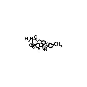 Cc1ccc(-c2nnc(-c3cc4c(cc3F)S(=O)(=O)C[C@H](N)C(=O)N4Cc3ccc(Cl)cc3)o2)cc1